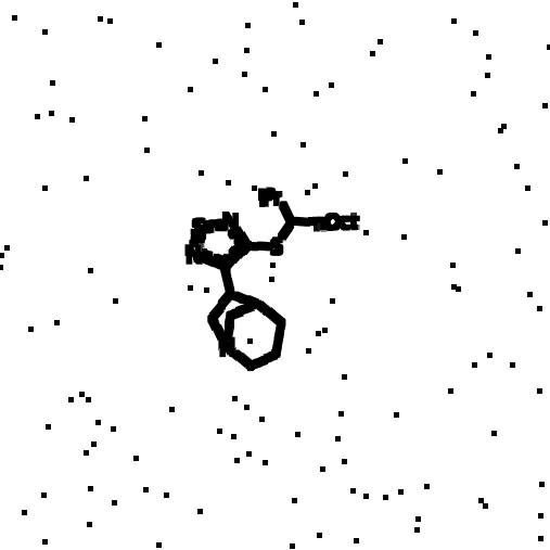 CCCCCCCCC(Sc1nsnc1C1CN2CCCC1C2)C(C)C